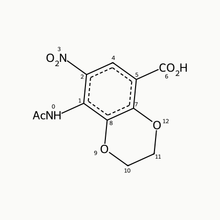 CC(=O)Nc1c([N+](=O)[O-])cc(C(=O)O)c2c1OCCO2